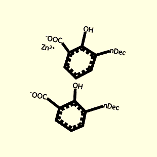 CCCCCCCCCCc1cccc(C(=O)[O-])c1O.CCCCCCCCCCc1cccc(C(=O)[O-])c1O.[Zn+2]